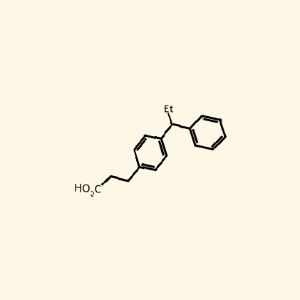 CCC(c1ccccc1)c1ccc(CCC(=O)O)cc1